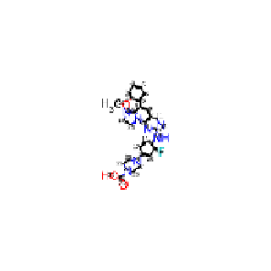 COc1ccccc1C1=Cc2cnc(Nc3ccc(N4CCN(C(=O)O)CC4)cc3F)nc2N2CCN=C12